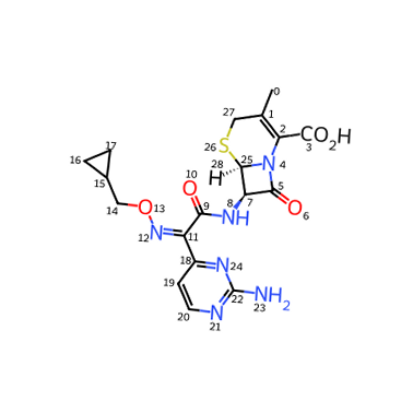 CC1=C(C(=O)O)N2C(=O)[C@@H](NC(=O)/C(=N\OCC3CC3)c3ccnc(N)n3)[C@H]2SC1